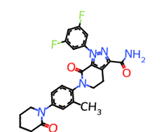 Cc1cc(N2CCCCC2=O)ccc1N1CCc2c(C(N)=O)nn(-c3cc(F)cc(F)c3)c2C1=O